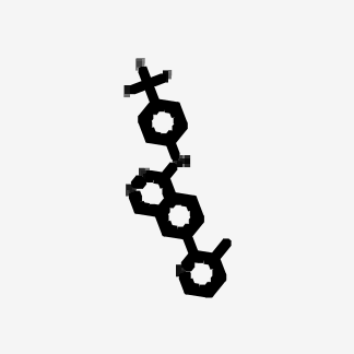 Cc1cccnc1-c1ccc2c(Nc3ccc(C(F)(F)F)cc3)nncc2c1